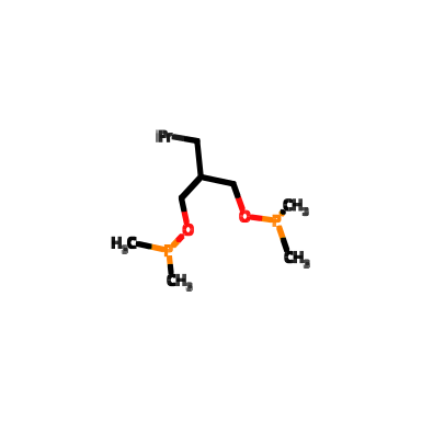 CC(C)CC(COP(C)C)COP(C)C